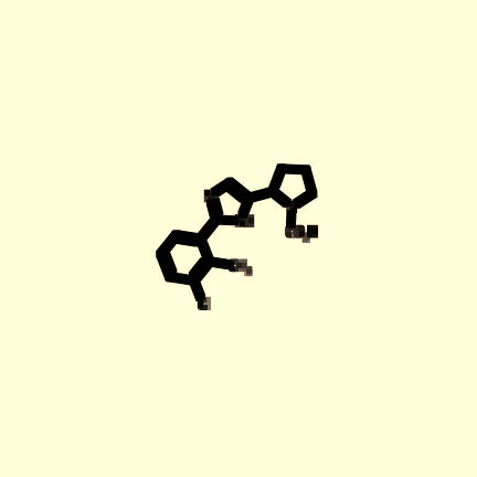 Cc1c(Cl)cccc1-c1ncc(C2CCCN2C(=O)O)[nH]1